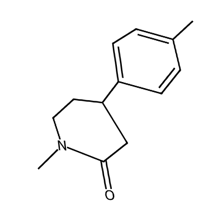 Cc1ccc(C2CCN(C)C(=O)C2)cc1